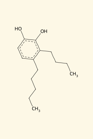 CCCCCc1ccc(O)c(O)c1CCCC